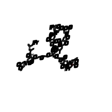 CC(C)CC(C)CC(C)C1OC1(C)C(CC(=O)N(CC1CO1)CC1CO1)C(=O)OCCOCCOCC(COCCOC(=O)C(CC(=O)N(CC1CO1)CC1CO1)C1(C)OC1C(C)CC(C)CC(C)C)(COCCOC(=O)C(CC(=O)N(CC1CO1)CC1CO1)C1(C)OC1C(C)CC(C)CC(C)C)COCCOC(=O)C(CC(=O)N(CC1CO1)CC1CO1)C1(C)OC1C(C)CC(C)CC(C)C